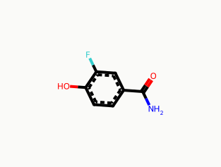 NC(=O)c1ccc(O)c(F)c1